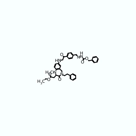 CCOC(=O)CC1C(=O)N(CCc2ccccc2)Cc2cc(NCC(=O)c3ccc(C=NNC(=O)OCc4ccccc4)cc3)ccc2N1C